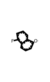 [O]c1cccc2c(F)cccc12